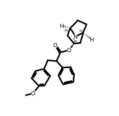 COc1ccc(CC(C(=O)O[C@H]2C[C@H]3CC[C@@H](C2)N3C)c2ccccc2)cc1